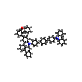 c1ccc2c(c1)cc(N(c1ccc(-c3ccc(-c4ccc(-n5c6ccccc6c6ccccc65)cc4)cc3)cc1)c1ccc(-c3cccc4oc5ccccc5c34)cc1)c1ccccc12